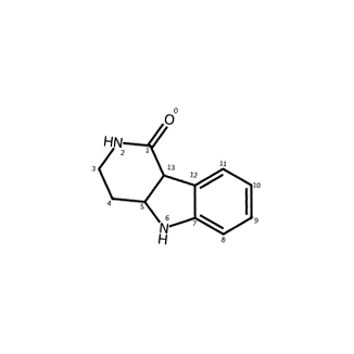 O=C1NCCC2Nc3ccccc3C12